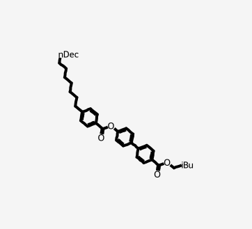 CCCCCCCCCCCCCCCCCc1ccc(C(=O)Oc2ccc(-c3ccc(C(=O)OCC(C)CC)cc3)cc2)cc1